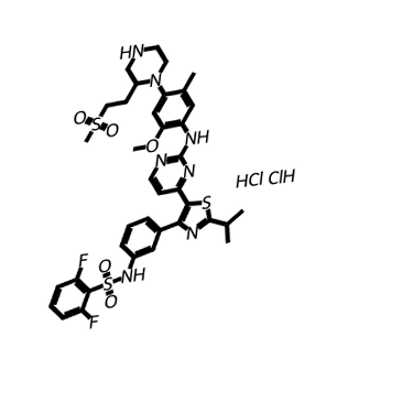 COc1cc(N2CCNCC2CCS(C)(=O)=O)c(C)cc1Nc1nccc(-c2sc(C(C)C)nc2-c2cccc(NS(=O)(=O)c3c(F)cccc3F)c2)n1.Cl.Cl